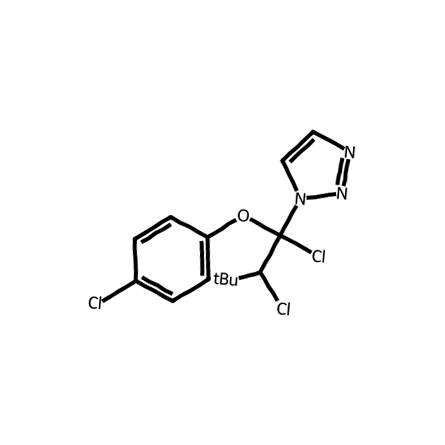 CC(C)(C)C(Cl)C(Cl)(Oc1ccc(Cl)cc1)n1ccnn1